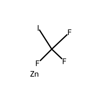 FC(F)(F)I.[Zn]